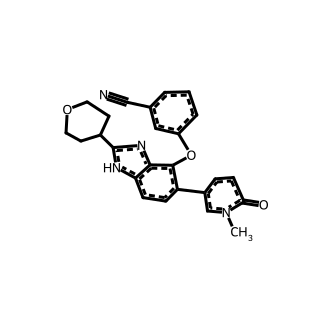 Cn1cc(-c2ccc3[nH]c(C4CCOCC4)nc3c2Oc2cccc(C#N)c2)ccc1=O